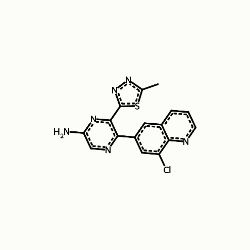 Cc1nnc(-c2nc(N)cnc2-c2cc(Cl)c3ncccc3c2)s1